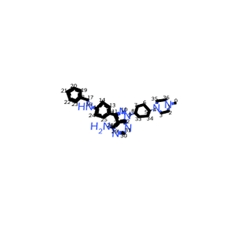 CN1CCN([C@H]2CC[C@H](n3nc(-c4ccc(NCc5ccccc5)cc4)c4c(N)ncnc43)CC2)CC1